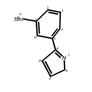 CC(C)(C)c1cccc(C2=NCC=C2)c1